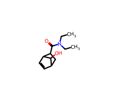 CCN(CC)C(=O)C1CC2C=CC1C2O